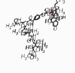 CCCC1O[C@@H]2C[C@H]3[C@@H]4CCC5=CC(=O)C=C[C@]5(C)[C@H]4[C@@H](O)C[C@]3(C)[C@]2(C(=O)COC(=O)OCc2ccc(NC(=O)[C@H](CCCNC(N)=O)NC(=O)[C@@H](NC(=O)[C@H](N)CCC(=O)NC[C@H](O)C(C(C)C)[C@H](O)[C@H]3COC(C)(C)O3)C(C)C)cc2)O1